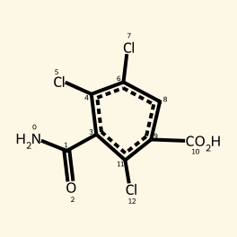 NC(=O)c1c(Cl)c(Cl)cc(C(=O)O)c1Cl